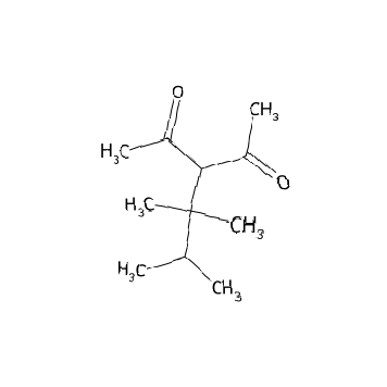 CC(=O)C(C(C)=O)C(C)(C)C(C)C